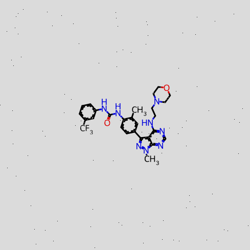 Cc1cc(-c2nn(C)c3ncnc(NCCN4CCOCC4)c23)ccc1NC(=O)Nc1cccc(C(F)(F)F)c1